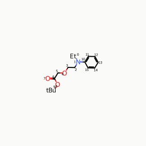 CCN(CCOCC(=O)OC(C)(C)C)c1ccccc1